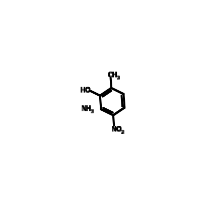 Cc1ccc([N+](=O)[O-])cc1O.N